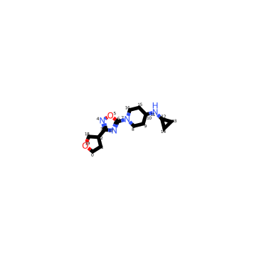 C1CC(c2noc(N3CCC(NC4CC4)CC3)n2)CO1